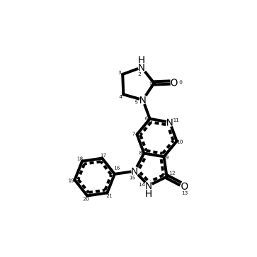 O=C1NCCN1c1cc2c(cn1)c(=O)[nH]n2-c1ccccc1